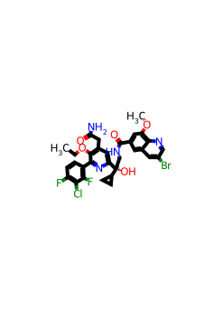 CCOc1c(CC(N)=O)cc([C@@](O)(CNC(=O)c2cc(OC)c3ncc(Br)cc3c2)C2CC2)nc1-c1ccc(F)c(Cl)c1F